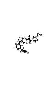 C[C@@H]1C[C@@H](NC(=O)c2cc(C3CC3)on2)CCN1C(=O)c1cccc(C(C)(C)N)c1